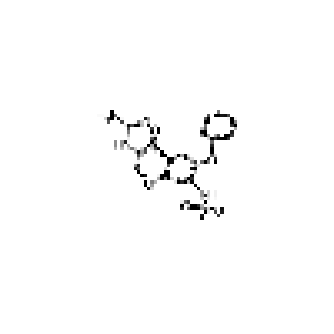 CS(=O)(=O)Nc1cc2occ(NC(N)=O)c(=O)c2cc1Oc1ccccc1